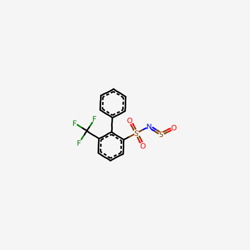 O=S=NS(=O)(=O)c1cccc(C(F)(F)F)c1-c1ccccc1